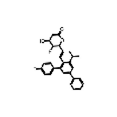 CC(C)c1cc(-c2ccccc2)cc(-c2ccc(F)cc2)c1/C=C/C1OC(=O)CC(O)C1F